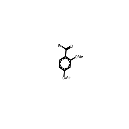 COc1ccc(C(=O)Br)c(OC)c1